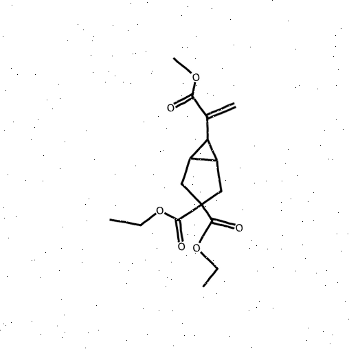 C=C(C(=O)OC)C1C2CC(C(=O)OCC)(C(=O)OCC)CC21